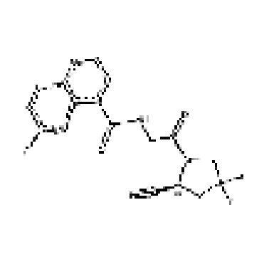 N#C[C@@H]1CC(F)(F)CN1C(=O)CNC(=O)c1ccnc2ccc(F)cc12